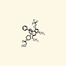 CCC1=Cc2c(c(OCC(F)(F)F)cn2C)C(=O)[N+]1(CC(=O)c1ccccc1)C1CCN(C(=O)CO)CC1